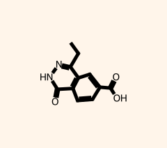 CCc1n[nH]c(=O)c2ccc(C(=O)O)cc12